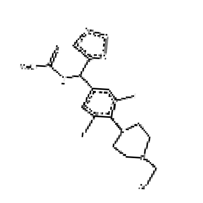 COC(=S)NC(c1cc(F)c(N2CCN(CC(C)=O)CC2)c(F)c1)c1c[nH]nn1